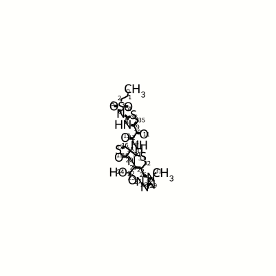 CCCS(=O)(=O)N=c1[nH]c(C(=O)C(=O)NC2(C=S)C(=O)N3C(C(=O)O)=C(c4nnnn4C)CS[C@H]32)cs1